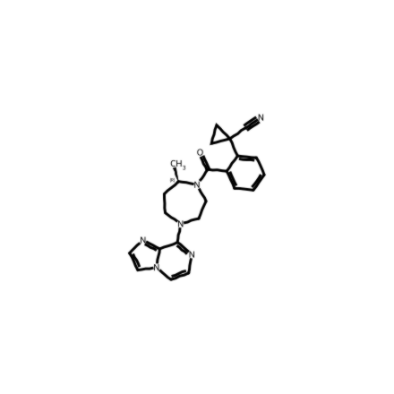 C[C@@H]1CCN(c2nccn3ccnc23)CCN1C(=O)c1ccccc1C1(C#N)CC1